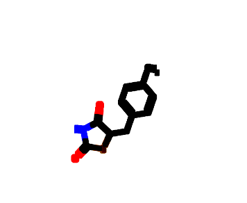 Cc1ccc(CC2SC(=O)NC2=O)cc1